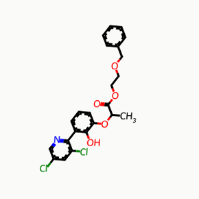 CC(Oc1cccc(-c2ncc(Cl)cc2Cl)c1O)C(=O)OCCOCc1ccccc1